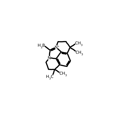 Bc1n2c3c(ccc4c3[n+]1CCC4(C)C)C(C)(C)CC2